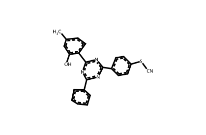 Cc1ccc(-c2nc(-c3ccccc3)nc(-c3ccc(SC#N)cc3)n2)c(O)c1